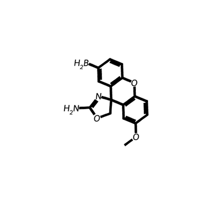 Bc1ccc2c(c1)C1(COC(N)=N1)c1cc(OC)ccc1O2